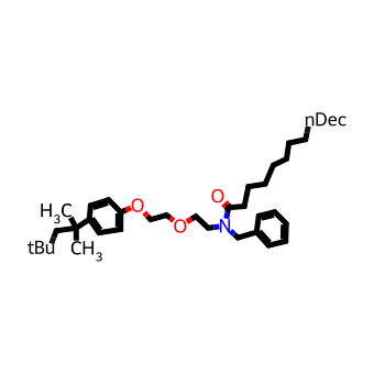 CCCCCCCCCCCCCCCCCC(=O)N(CCOCCOc1ccc(C(C)(C)CC(C)(C)C)cc1)Cc1ccccc1